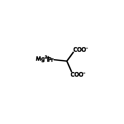 CC(C)C(C(=O)[O-])C(=O)[O-].[Mg+2]